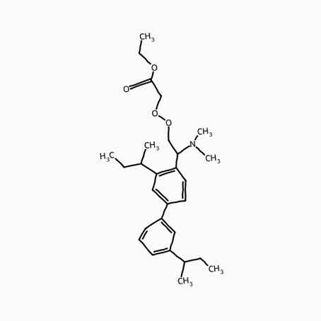 CCOC(=O)COOCC(c1ccc(-c2cccc(C(C)CC)c2)cc1C(C)CC)N(C)C